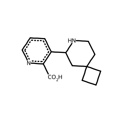 O=C(O)c1ncccc1C1CC2(CCC2)CCN1